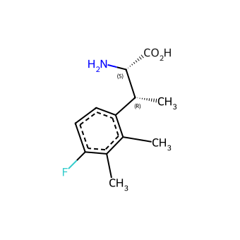 Cc1c(F)ccc([C@@H](C)[C@H](N)C(=O)O)c1C